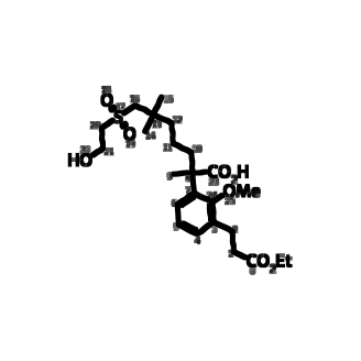 CCOC(=O)CCc1cccc(C(C)(CCCC(C)(C)CS(=O)(=O)CCO)C(=O)O)c1OC